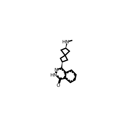 CN[C@H]1CC2(C1)C[C@H](c1n[nH]c(=O)c3ccccc31)C2